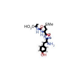 CSCCC(NC(=O)N[C@@H](C)C(=O)O)c1nc([C@@H](N)Cc2ccc(O)cc2)no1